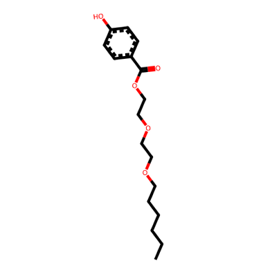 CCCCCCOCCOCCOC(=O)c1ccc(O)cc1